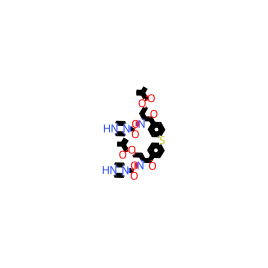 C=C(C)C(=O)OCC/C(=N\OC(=O)N1CCNCC1)C(=O)c1ccc(Sc2ccc(C(=O)/C(CCOC(=O)C(=C)C)=N/OC(=O)N3CCNCC3)cc2)cc1